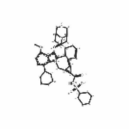 COc1ccc(C2CCCCC2)c2c1cc1n2CC2=C(C(=O)NS(=O)(=O)C3CCCCC3)C2=C2C=CC[C@@H](C(=O)N3C4COCC3COC4)C21